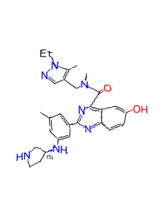 CCn1ncc(CN(C)C(=O)c2nc(-c3cc(C)cc(N[C@H]4CCNC4)c3)nc3ccc(O)cc23)c1C